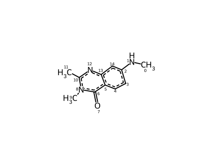 CNc1ccc2c(=O)n(C)c(C)nc2c1